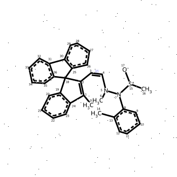 CC1=C(/C=C\N(C)N(c2ccccc2C)[S+](C)[O-])C2(c3ccccc31)c1ccccc1-c1ccccc12